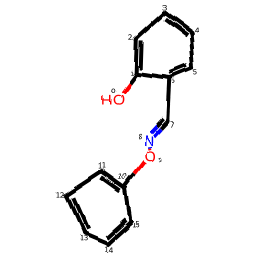 Oc1ccccc1C=NOc1ccccc1